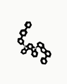 c1ccc(-c2ccc(-c3cccc(-n4c5ccccc5c5c6c7ccccc7n(-c7cccc8c7Cc7c(-c9ccccc9)cccc7-8)c6ccc54)c3)cc2)cc1